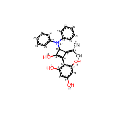 N#CC(C#N)=C1C(c2c(O)cc(O)cc2O)=C(O)C1N(c1ccccc1)c1ccccc1